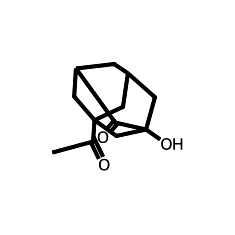 CC(=O)C12CC3CC(C1)C(=O)C(O)(C3)C2